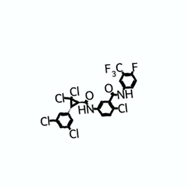 O=C(Nc1ccc(F)c(C(F)(F)F)c1)c1cc(NC(=O)[C@H]2[C@H](c3cc(Cl)cc(Cl)c3)C2(Cl)Cl)ccc1Cl